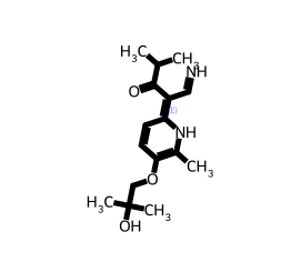 CC1=C(OCC(C)(C)O)C=C/C(=C(/C=N)C(=O)C(C)C)N1